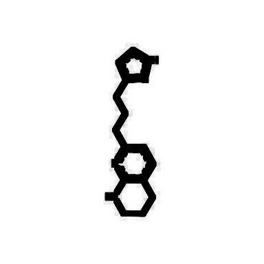 c1cc(CCCc2ccc3c(n2)NCCC3)n[nH]1